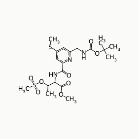 COC(=O)C(NC(=O)c1cc(SC)cc(CNC(=O)OC(C)(C)C)n1)C(C)OS(C)(=O)=O